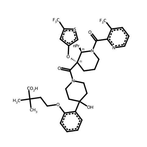 CCC[C@H]1N(C(=O)c2ncccc2C(F)(F)F)CCC[C@@]1(Oc1csc(C(F)(F)F)c1)C(=O)N1CCC(O)(c2ccccc2OCCC(C)(C)C(=O)O)CC1